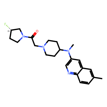 Cc1ccc2ncc(N(C)C3CCN(CC(=O)N4CC[C@H](F)C4)CC3)cc2c1